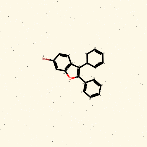 Brc1ccc2c(C3C=CC=CC3)c(-c3ccccc3)oc2c1